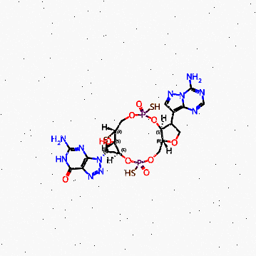 Nc1nc2c(nnn2[C@@H]2S[C@@H]3COP(=O)(S)O[C@H]4C(c5cnn6c(N)ncnc56)CO[C@@H]4COP(=O)(S)O[C@@H]2[C@@H]3O)c(=O)[nH]1